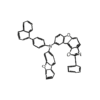 c1ccc(-c2nc3ccc4oc5ccc(N(c6ccc(-c7cccc8ccccc78)cc6)c6ccc7c(c6)oc6ccccc67)cc5c4c3o2)cc1